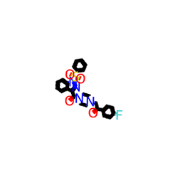 O=C(CN1CCN(C(=O)c2nn(S(=O)(=O)c3ccccc3)c3ccccc23)CC1)c1ccc(F)cc1